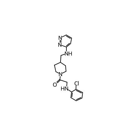 O=C(CNc1ccccc1Cl)N1CCC(CNc2cccnn2)CC1